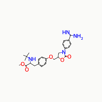 COC(=O)C(Cc1ccc(OCC2CN(c3ccc(C(=N)N)cc3)C(=O)O2)cc1)NC(C)(C)C